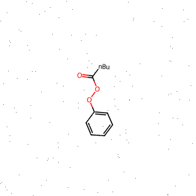 CCCCC(=O)OOc1ccccc1